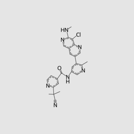 CNc1ncc2cc(-c3cc(NC(=O)c4ccnc(C(C)(C)C#N)c4)cnc3C)cnc2c1Cl